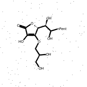 CCCCCC(O)[C@H](O)[C@H]1OC(=O)C(O)=C1OCC(O)CO